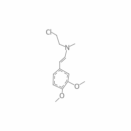 COc1ccc(C=CN(C)CCCl)cc1OC